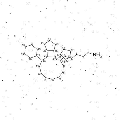 NCCCCCC1C2CCCCCCC(C3CCCCC3)C3C4CCCC4C13C1CCCC21